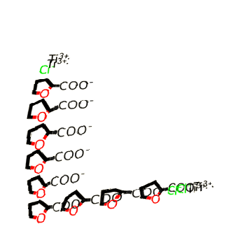 O=C([O-])C1CCCO1.O=C([O-])C1CCCO1.O=C([O-])C1CCCO1.O=C([O-])C1CCCO1.O=C([O-])C1CCCO1.O=C([O-])C1CCCO1.O=C([O-])C1CCCO1.O=C([O-])C1CCCO1.O=C([O-])C1CCCO1.[Cl-].[Cl-].[Cl-].[Ti+3].[Ti+3].[Ti+3].[Ti+3]